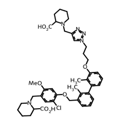 COc1cc(OCc2cccc(-c3cccc(OCCCn4cc(CN5CCCCC5C(=O)O)nn4)c3C)c2C)c(Cl)cc1CN1CCCCC1C(=O)O